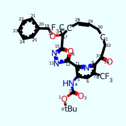 CC(C)(C)OC(=O)Nc1cc(C(F)(F)F)c2nc1-c1nnc(o1)[C@@](OCc1ccccc1)(C(F)(F)F)C/C=C\CCCC2=O